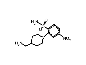 NCC1CCN(c2cc([N+](=O)[O-])ccc2S(N)(=O)=O)CC1